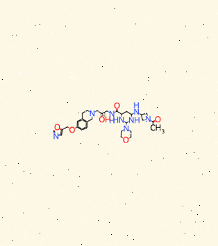 CC(=O)N1CC(NC2CC(C(=O)NC[C@H](O)CN3CCc4cc(OCc5cnco5)ccc4C3)NC(N3CCOCC3)N2)C1